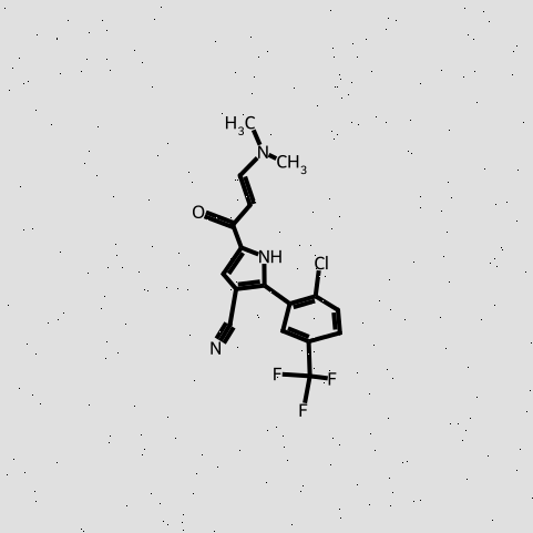 CN(C)/C=C/C(=O)c1cc(C#N)c(-c2cc(C(F)(F)F)ccc2Cl)[nH]1